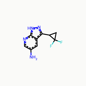 Nc1cnc2[nH]nc(C3CC3(F)F)c2c1